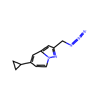 [N-]=[N+]=NCc1cc2cc(C3CC3)ccn2n1